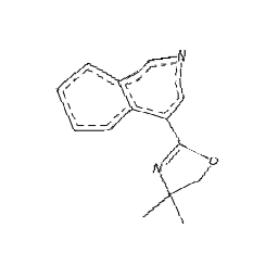 CC1(C)COC(c2cncc3ccccc23)=N1